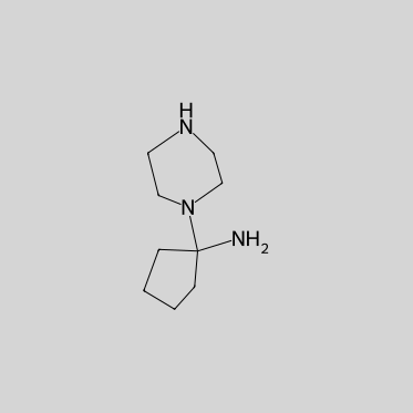 NC1(N2CCNCC2)CCCC1